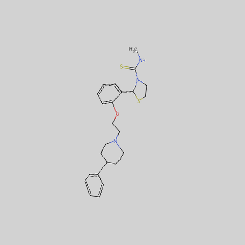 CNC(=S)N1CCSC1c1ccccc1OCCN1CCC(c2ccccc2)CC1